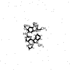 C=CC(=O)Nc1cc(Nc2ncc(-n3nccn3)c(-c3cn(C)c4ccccc34)n2)c(OC)cc1NC